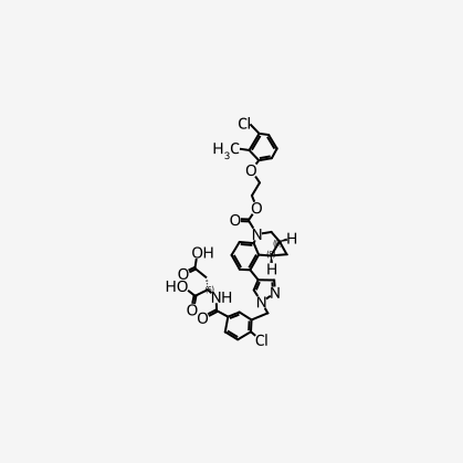 Cc1c(Cl)cccc1OCCOC(=O)N1C[C@@H]2C[C@@H]2c2c(-c3cnn(Cc4cc(C(=O)N[C@@H](CC(=O)O)C(=O)O)ccc4Cl)c3)cccc21